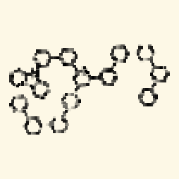 C1=C(c2ccccc2)C=C(c2cccc(-c3ccc(-c4cc(-c5cccc(-c6cccc(-c7cccc(-c8cccc(-c9ccccc9)c8)c7)c6)c5)nc(-c5cccc(-c6cccc(-n7c8ccccc8c8ccccc87)c6)c5)c4)cc3)c2)CC1